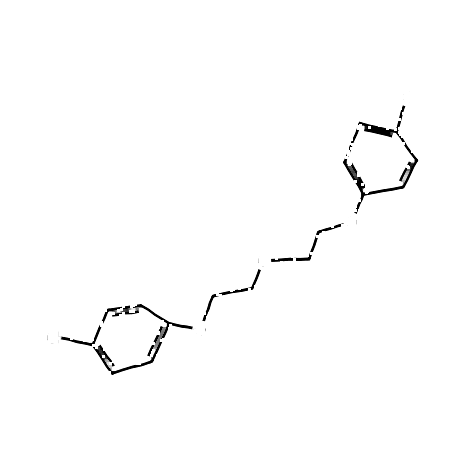 Clc1ccc(OCCOCCOc2ccc(Cl)cc2)cc1